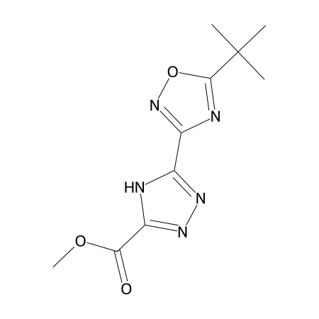 COC(=O)c1nnc(-c2noc(C(C)(C)C)n2)[nH]1